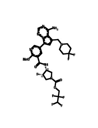 COc1ncc(-c2cc(CN3CCC(F)(F)CC3)c3c(N)ncnn23)cc1C(=O)N[C@@H]1CN(C(=O)OCC(F)(F)C(F)F)C[C@@H]1F